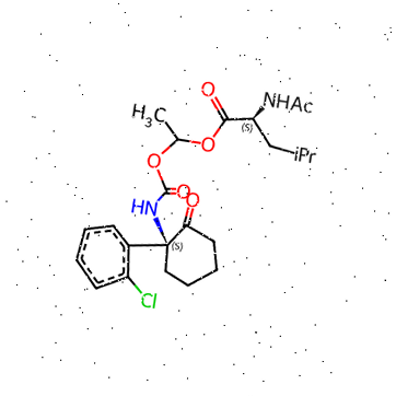 CC(=O)N[C@@H](CC(C)C)C(=O)OC(C)OC(=O)N[C@]1(c2ccccc2Cl)CCCCC1=O